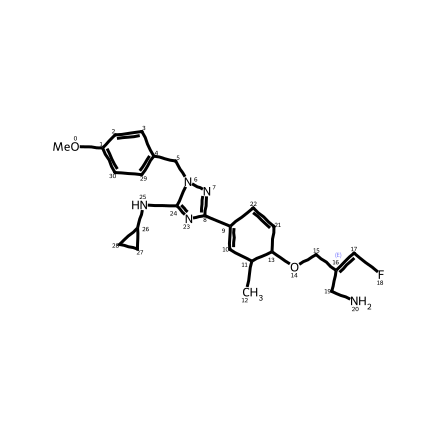 COc1ccc(Cn2nc(C3=CC(C)C(OC/C(=C/F)CN)C=C3)nc2NC2CC2)cc1